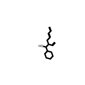 C=C/C=C/CC(C=C)C(O)C1CCCCC1